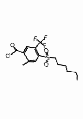 CCCCCCS(=O)(=O)c1cc(C)c(C(=O)Cl)cc1C(F)(F)F